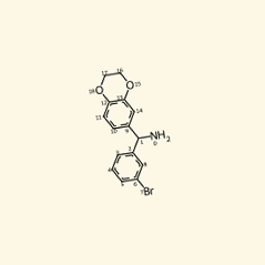 NC(c1cccc(Br)c1)c1ccc2c(c1)OCCO2